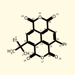 CCC(C)(C)c1cc2c3c(cc(C(C)C)c4c3c1C(=O)OC4=O)C(=O)OC2=O